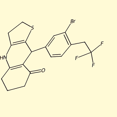 O=C1CCCC2=C1C(c1ccc(CC(F)(F)F)c(Br)c1)C1=C(CCS1)N2